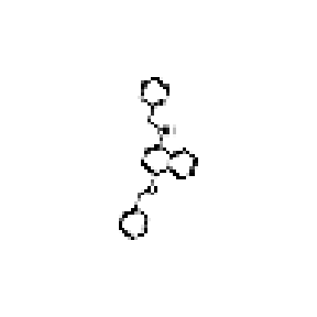 c1ccc(CNc2ccc(OCc3ccccc3)c3ccccc23)cc1